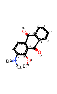 CCOc1c(N(CC)CC)ccc2c1C(=O)c1ccccc1C2=O